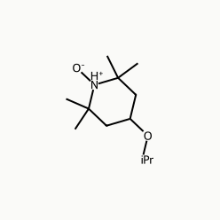 CC(C)OC1CC(C)(C)[NH+]([O-])C(C)(C)C1